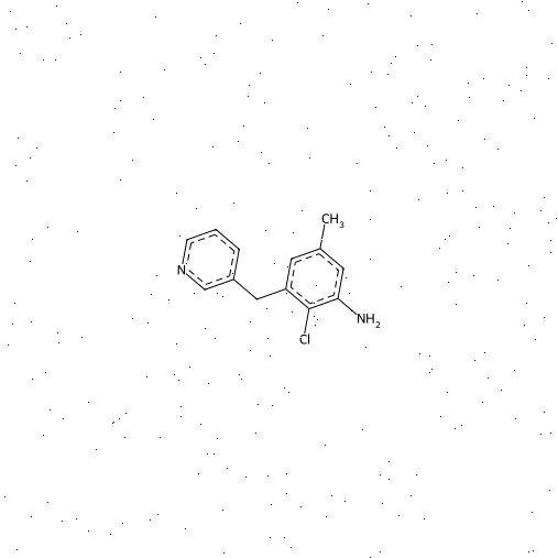 Cc1cc(N)c(Cl)c(Cc2cccnc2)c1